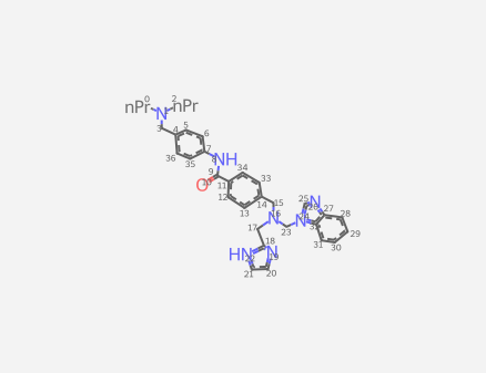 CCCN(CCC)Cc1ccc(NC(=O)c2ccc(CN(Cc3ncc[nH]3)Cn3cnc4ccccc43)cc2)cc1